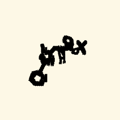 Cn1cc(-c2ccccn2)nc1CNC(=O)OC(C)(C)C